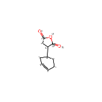 O=C1CC(C2CC=CCC2)C(=O)O1